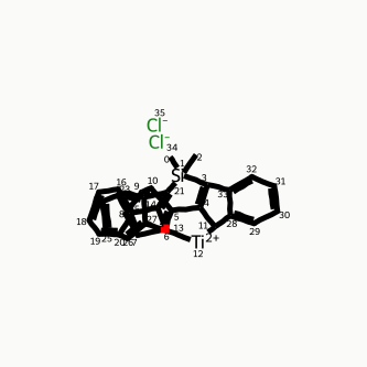 C[Si]1(C)C2=C(c3ccccc3)[CH]([Ti+2][CH]3C(c4ccccc4)=C1c1ccccc13)c1ccccc12.[Cl-].[Cl-]